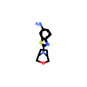 Nc1ccc2nc(N3C4CCC3COC4)sc2c1